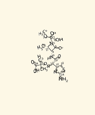 COP(=O)(O)N1C(=O)[C@H](NC(=O)/C(=N\OC(C)(C)C(=O)O)c2csc(N)n2)[C@@H]1C